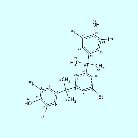 CCc1cc(C(C)(C)c2cc(I)c(O)c(I)c2)cc(C(C)(C)c2cc(I)c(O)c(I)c2)c1